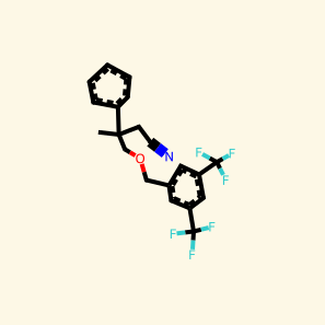 CC(CC#N)(COCc1cc(C(F)(F)F)cc(C(F)(F)F)c1)c1ccccc1